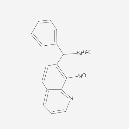 CC(=O)NC(c1ccccc1)c1ccc2cccnc2c1N=O